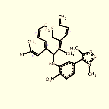 C=C/C=C\C(CF)=C(/C)C(Nc1cc(-c2c(C)nnn2C)ccc1[N+](=O)[O-])C(/C=C(\C)CC)=C/C=C\C